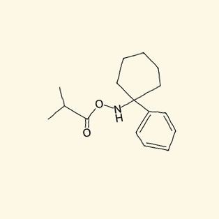 CC(C)C(=O)ONC1(c2ccccc2)CCCCC1